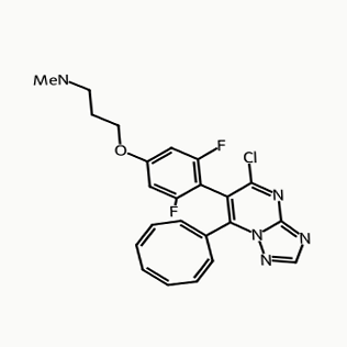 CNCCCOc1cc(F)c(-c2c(Cl)nc3ncnn3c2C2=CC=CC=CC=C2)c(F)c1